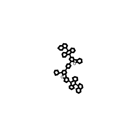 c1ccc(-c2cc(-c3ccc(-c4cc(-c5c6ccccc6c(-c6cccc7ccccc67)c6ccccc56)cc5c4oc4ccccc45)cc3)cc3c2oc2ccc(-c4c5ccccc5c(-c5cccc6ccccc56)c5ccccc45)cc23)cc1